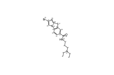 CCN(CC)CCCNC(=O)c1ccc2c(c1)sc1nc(Br)cn12